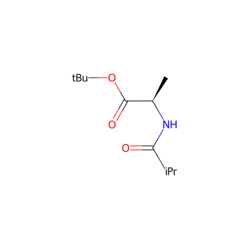 CC(C)C(=O)N[C@H](C)C(=O)OC(C)(C)C